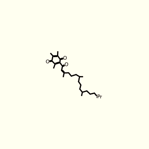 CC(=CC(=O)C1=C(C)C(=O)C(C)=C(C)C1=O)CCCC(C)CCCC(C)CCCC(C)C